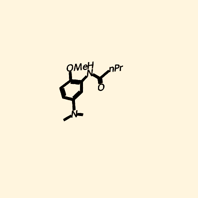 CCCC(=O)Nc1cc(N(C)C)ccc1OC